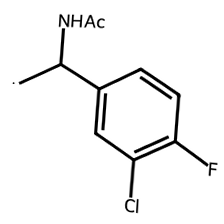 [CH2]C(NC(C)=O)c1ccc(F)c(Cl)c1